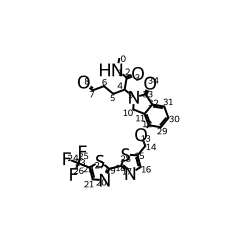 CNC(=O)C(CCC=O)N1Cc2c(OCc3cnc(-c4ncc(C(F)(F)F)s4)s3)cccc2C1=O